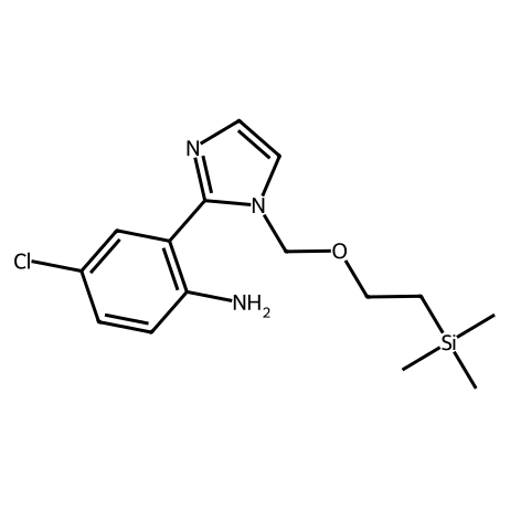 C[Si](C)(C)CCOCn1ccnc1-c1cc(Cl)ccc1N